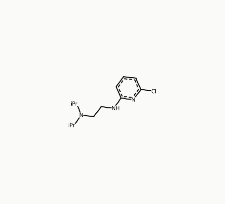 CC(C)N(CCNc1cccc(Cl)n1)C(C)C